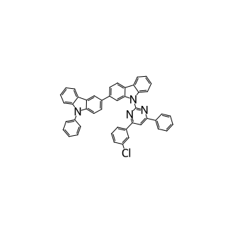 Clc1cccc(-c2cc(-c3ccccc3)nc(-n3c4ccccc4c4ccc(-c5ccc6c(c5)c5ccccc5n6-c5ccccc5)cc43)n2)c1